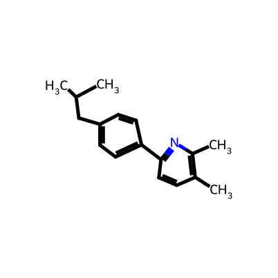 Cc1ccc(-c2ccc(CC(C)C)cc2)nc1C